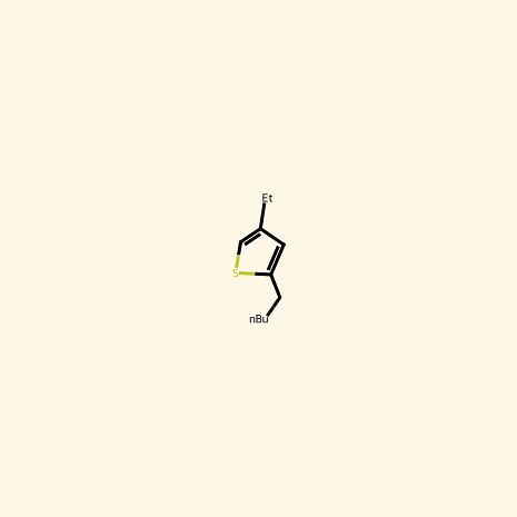 CCCCCc1cc(CC)cs1